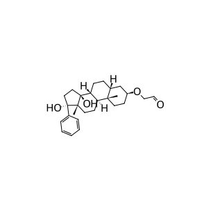 C[C@]12CC[C@H](OCC=O)C[C@H]1CC[C@@H]1[C@@H]2CC[C@]2(C)[C@@](O)(c3ccccc3)CC[C@]12O